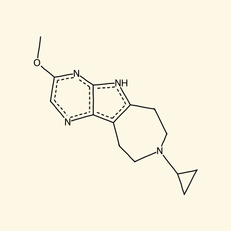 COc1cnc2c3c([nH]c2n1)CCN(C1CC1)CC3